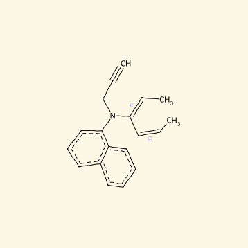 C#CCN(C(/C=C\C)=C/C)c1cccc2ccccc12